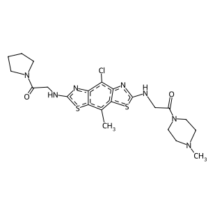 Cc1c2sc(NCC(=O)N3CCCC3)nc2c(Cl)c2nc(NCC(=O)N3CCN(C)CC3)sc12